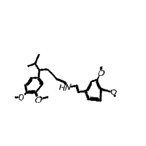 COc1ccc(CCNCCCC(c2ccc(OC)c(OC)c2)C(C)C)cc1OC